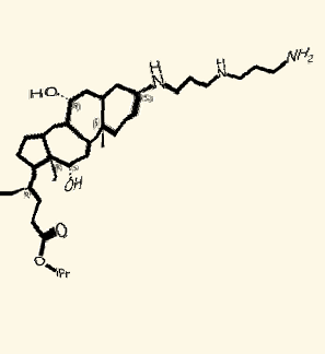 CC(C)OC(=O)CC[C@@H](C)C1CCC2C3C(C[C@H](O)[C@@]21C)[C@@]1(C)CC[C@H](NCCCNCCCN)CC1C[C@H]3O